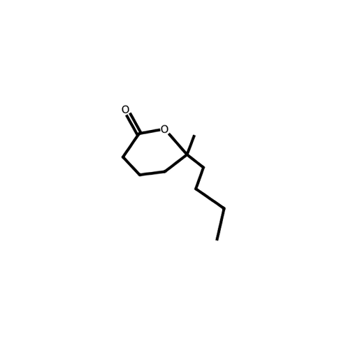 CCCCC1(C)CCCC(=O)O1